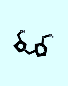 OCc1ccn(Cc2cccc(OC(F)(F)F)c2)c1